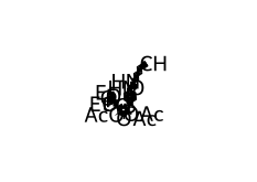 C#CCCCCNC(=O)Nc1ccc(S[C@H]2O[C@H](CCP(=O)(OCC)OCC)[C@@H](OC(C)=O)[C@H](OC(C)=O)[C@@H]2OC(C)=O)cc1